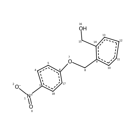 O=[N+]([O-])c1ccc(OCc2ccccc2CO)cc1